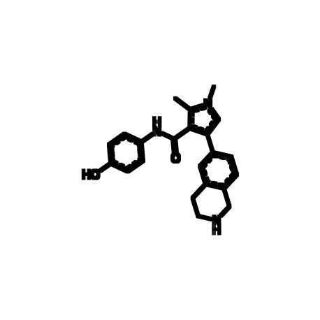 Cc1c(C(=O)Nc2ccc(O)cc2)c(-c2ccc3c(c2)CCNC3)cn1C